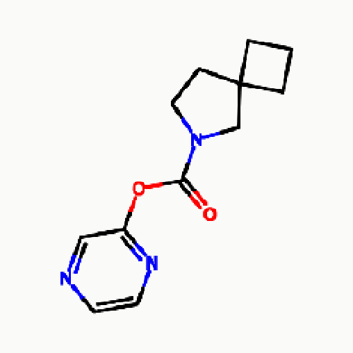 O=C(Oc1cnccn1)N1CCC2(CCC2)C1